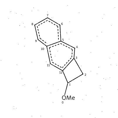 COC1Cc2cc3ccccc3cc21